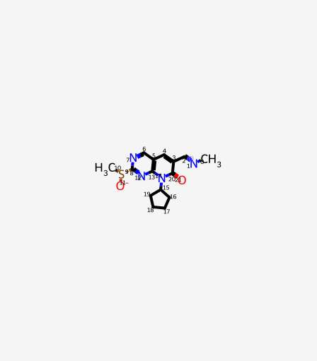 C/N=C/c1cc2cnc([S+](C)[O-])nc2n(C2CCCC2)c1=O